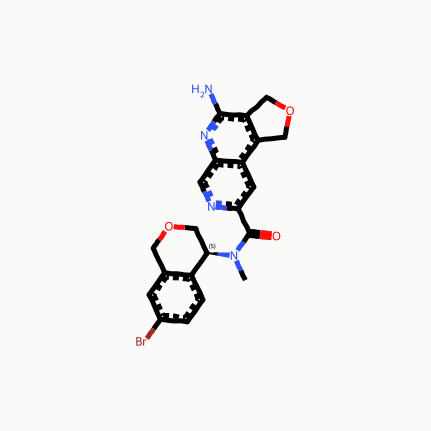 CN(C(=O)c1cc2c3c(c(N)nc2cn1)COC3)[C@@H]1COCc2cc(Br)ccc21